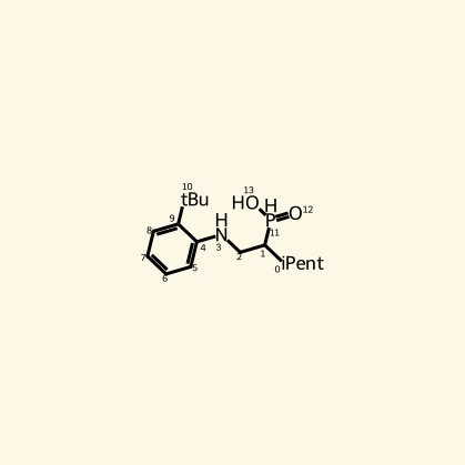 CCCC(C)C(CNc1ccccc1C(C)(C)C)[PH](=O)O